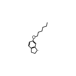 CCCCCCOc1ccc2c(c1)[CH]CC2